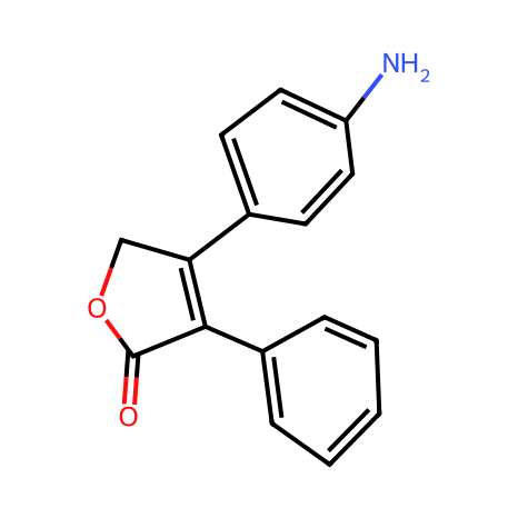 Nc1ccc(C2=C(c3ccccc3)C(=O)OC2)cc1